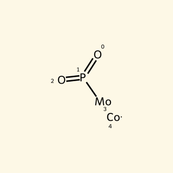 O=[P](=O)[Mo].[Co]